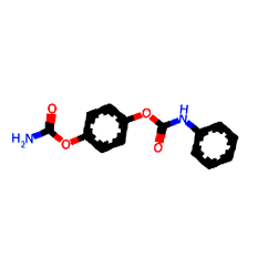 NC(=O)Oc1ccc(OC(=O)Nc2ccccc2)cc1